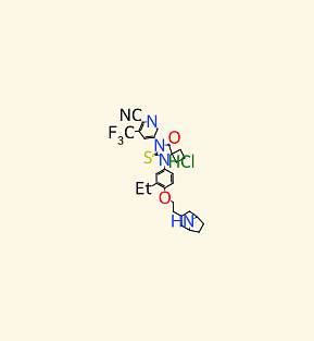 CCc1cc(N2C(=S)N(c3cnc(C#N)c(C(F)(F)F)c3)C(=O)C23CCC3)ccc1OCCC1CC2CCC(C1)N2.Cl